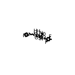 Cc1cc(F)c(COc2nsc(NC(=O)NCCCCN3CCN(C)CC3)c2C(N)=O)cc1F